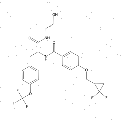 O=C(NC(Cc1ccc(OC(F)(F)F)cc1)C(=O)NCCO)c1ccc(OCC2CC2(F)F)cc1